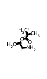 C=C(CN)OC(=O)C(=C)C